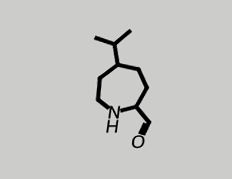 CC(C)C1CCNC(C=O)CC1